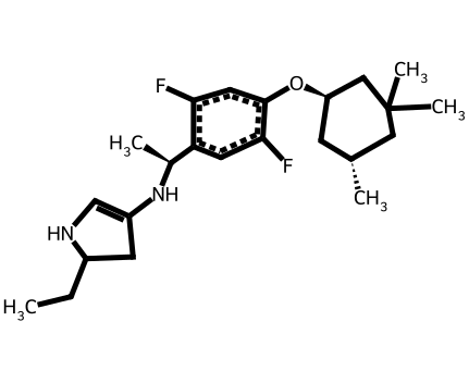 CCC1CC(N[C@@H](C)c2cc(F)c(O[C@@H]3C[C@@H](C)CC(C)(C)C3)cc2F)=CN1